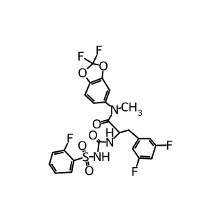 CN(C(=O)C(Cc1cc(F)cc(F)c1)NC(=O)NS(=O)(=O)c1ccccc1F)c1ccc2c(c1)OC(F)(F)O2